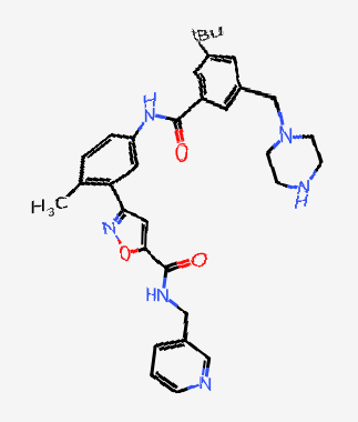 Cc1ccc(NC(=O)c2cc(CN3CCNCC3)cc(C(C)(C)C)c2)cc1-c1cc(C(=O)NCc2cccnc2)on1